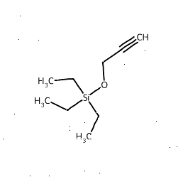 C#CCO[Si](CC)(CC)CC